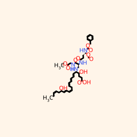 CC/C=C\C[C@H](O)/C=C/C=C\C\C=C/C=C/C=C/[C@@H](NC[C@H](NC(=O)CC[C@H](NC(=O)OCc1ccccc1)OC=O)C(=O)NCC(=O)OC)[C@@H](O)CCC(=O)O